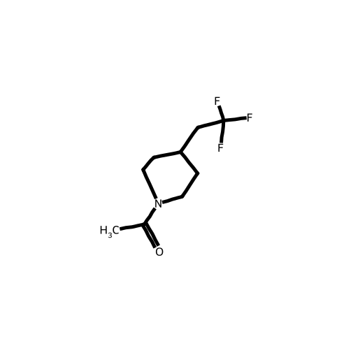 CC(=O)N1CCC(CC(F)(F)F)CC1